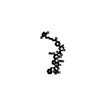 CC[C@H](C)[C@@H]([C@@H](CC(=O)N1CCC[C@H]1[C@H](OC)[C@@H](C)C(=O)N[C@@H](Cc1ccccc1)c1nn[nH]n1)OC)N(C)C(=O)[C@@H](/N=C(\N(C)C)N1CCN(C(=O)CCCCCN2C(=O)C=CC2=O)CC1)C(C)C